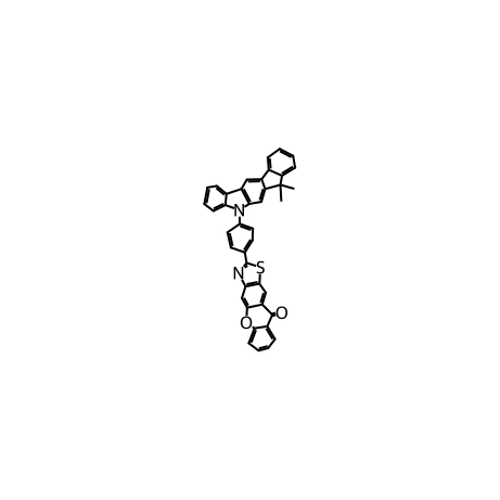 CC1(C)c2ccccc2-c2cc3c4ccccc4n(-c4ccc(-c5nc6cc7oc8ccccc8c(=O)c7cc6s5)cc4)c3cc21